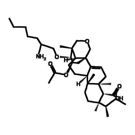 CCCCCC(N)CO[C@H]1[C@H](OC(C)=O)C[C@]23COC[C@]1(C)[C@@H]2CC[C@H]1C3=CC[C@@]2(C)[C@H](C(=O)O)[C@@](C)([C@H](C)C(C)C)CC[C@]12C